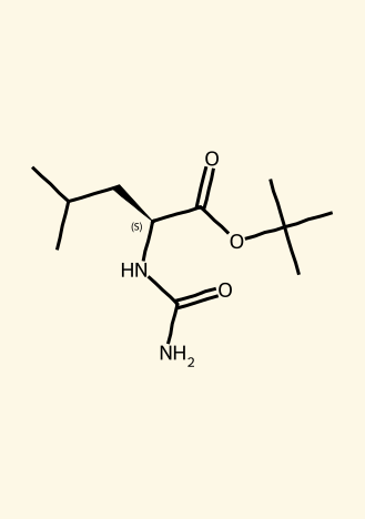 CC(C)C[C@H](NC(N)=O)C(=O)OC(C)(C)C